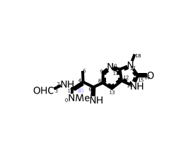 CN/C(NC=O)=C(/C)C(=N)c1cnc2c(c1)[nH]c(=O)n2C